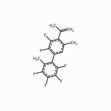 C=C(C)c1c(C)cc(-c2c(C)c(F)c(F)c(F)c2F)c(F)c1F